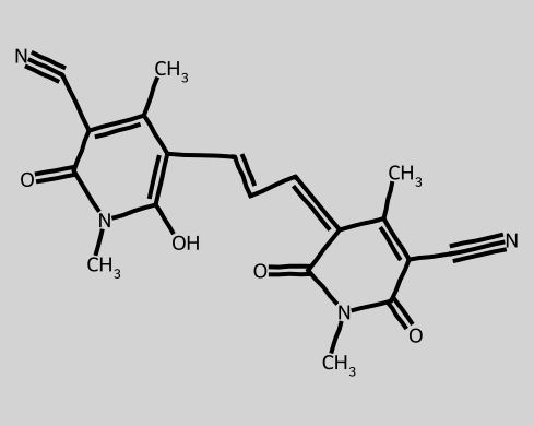 CC1=C(C#N)C(=O)N(C)C(=O)C1=CC=Cc1c(C)c(C#N)c(=O)n(C)c1O